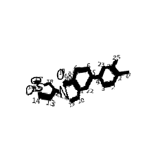 Cc1ccc(-c2ccc3c(=O)n(C4C=CS(=O)(=O)C4)ccc3c2)cc1C